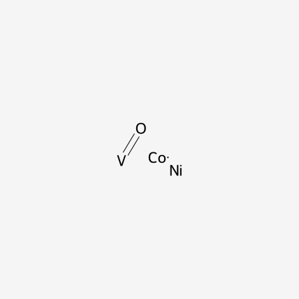 [Co].[Ni].[O]=[V]